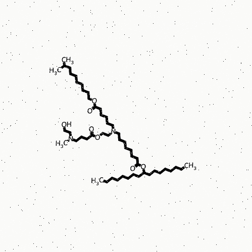 CCCCCCCCC(CCCCCCCC)OC(=O)CCCCCCCN(CCCCCC(=O)OCCCCCCCCC(C)C)CCOC(=O)CCCN(C)CCO